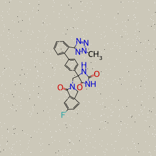 Cn1nnc(-c2ccccc2-c2ccc(C3(CN4Cc5ccc(F)cc5C4=O)NC(=O)NC3=O)cc2)n1